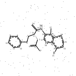 C=C(C)C[C@H](CCc1ccccc1)C(=C)Nc1cnc2c(F)cccc2c1C